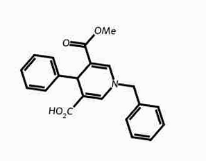 COC(=O)C1=CN(Cc2ccccc2)C=C(C(=O)O)C1c1ccccc1